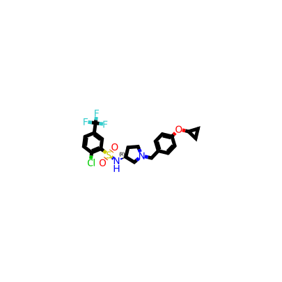 O=S(=O)(N[C@@H]1CCN(Cc2ccc(OC3CC3)cc2)C1)c1cc(C(F)(F)F)ccc1Cl